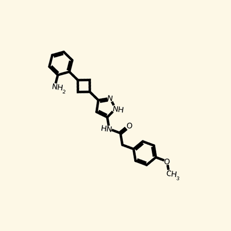 COc1ccc(CC(=O)Nc2cc(C3CC(c4ccccc4N)C3)n[nH]2)cc1